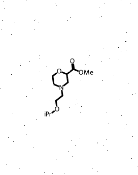 COC(=O)C1CN(CCOC(C)C)CCO1